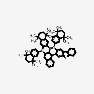 CC1(C)CCC(C)(C)c2cc(N3B4c5cc6c(cc5N(c5ccc7c(c5)C(C)(C)CCC7(C)C)c5cc7ccccc7c(c54)-c4cc5oc7ccccc7c5cc43)C(C)(C)CCC6(C)C)ccc21